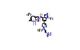 C=Cc1c(NC(C)C)cc(-c2ccc(N(CCC)CCNC(C)C)nc2)cc1C(=O)NCC1CC(CCC)/C=C(/C)CNC1=O